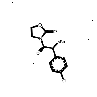 CCCCC(C(=O)N1CCOC1=O)c1ccc(Cl)cc1